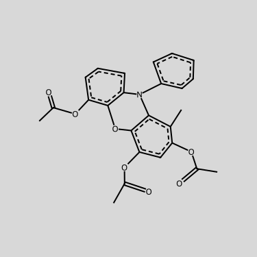 CC(=O)Oc1cc(OC(C)=O)c2c(c1C)N(c1ccccc1)c1cccc(OC(C)=O)c1O2